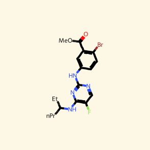 CCCC(CC)Nc1nc(Nc2ccc(Br)c(C(=O)OC)c2)ncc1F